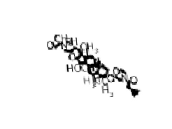 C[C@@H]1CC(CN(S)[C@@H](C)C=O)OC2[C@H]1C1(C)CCC34CC35CCC(O[C@H]3CN(C(=O)CC6CC6)CCO3)C(C)(C)[C@@H]5CCC4[C@]1(C)[C@H]2O